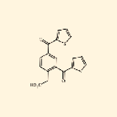 O=C(O)Cc1ccc(C(=O)c2cccs2)cc1C(=O)c1cccs1